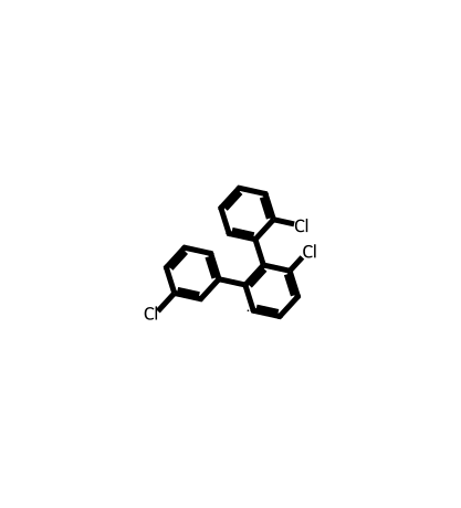 Clc1cccc(-c2[c]ccc(Cl)c2-c2ccccc2Cl)c1